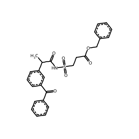 CC(C(=O)NS(=O)(=O)CCC(=O)OCc1ccccc1)c1cccc(C(=O)c2ccccc2)c1